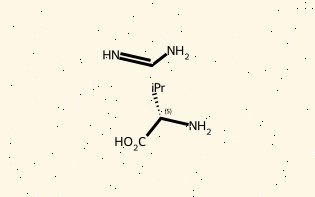 CC(C)[C@H](N)C(=O)O.N=CN